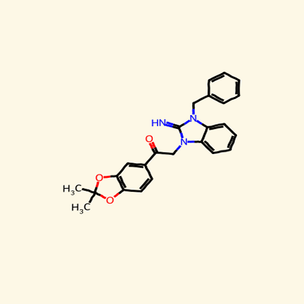 CC1(C)Oc2ccc(C(=O)Cn3c(=N)n(Cc4ccccc4)c4ccccc43)cc2O1